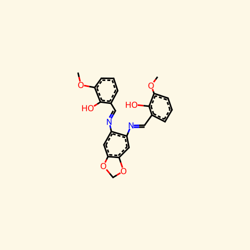 COc1cccc(/C=N/c2cc3c(cc2/N=C/c2cccc(OC)c2O)OCO3)c1O